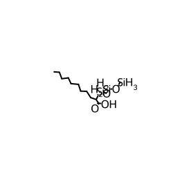 CCCCCCCCCC([SiH2]O[SiH2]O[SiH3])C(=O)O